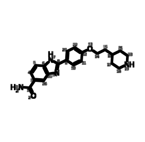 NC(=O)c1ccc2[nH]c(-c3ccc(OCCC4CCNCC4)cc3)nc2c1